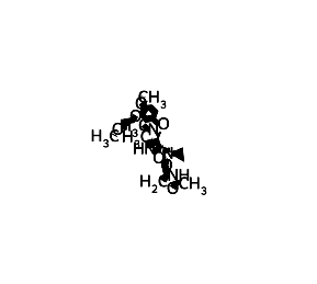 C=C(COC(=O)N(C[C@@H]1CNC[C@H]1CN(C(=O)c1ccc(OC)c(OCCCOC)c1)C(C)C)C1CC1)NC(C)=O